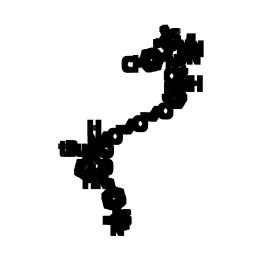 Cc1ncsc1-c1ccc(CNC(=O)[C@@H]2CCCN2C(=O)C(NC(=O)COCCCOCCCOc2ccc(NC(=O)C[C@@H]3N=C(c4ccc(Cl)cc4)c4c(sc(C)c4C)-n4c(C)nnc43)nc2)C(C)(C)C)cc1